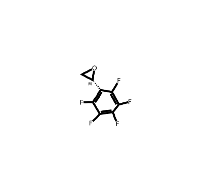 Fc1c(F)c(F)c([C@@H]2CO2)c(F)c1F